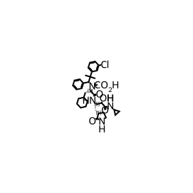 CC(C)(c1cccc(Cl)c1)C(c1ccccc1)N(C(=O)O)[C@@H](CC1CCCCC1)C(=O)N[C@@H](C[C@@H]1CCNC1=O)C(O)C(=O)NC1CC1